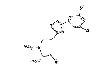 CC(C)CC(C(=O)O)N(CCc1nc(-c2cc(Cl)cc(Cl)c2)co1)C(=O)O